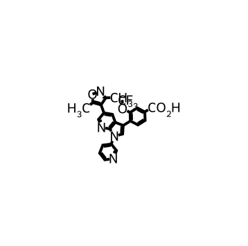 Cc1noc(C)c1-c1cnc2c(c1)c(-c1ccc(C(=O)O)cc1OC(F)(F)F)cn2-c1cccnc1